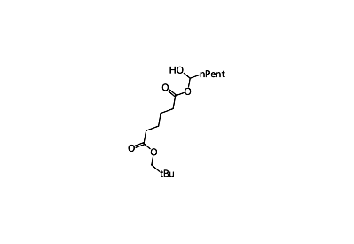 CCCCCC(O)OC(=O)CCCCC(=O)OCC(C)(C)C